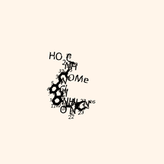 COc1nc(-c2cccc(-c3cccc(NC(=O)c4nc5c(n4C)CCN(C)C5)c3Cl)c2Cl)ccc1CNC(C)C(=O)O